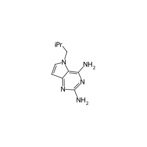 CC(C)Cn1ccc2nc(N)nc(N)c21